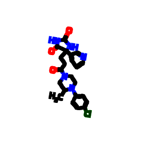 CC1CN(C(=O)CCC2(c3cccnc3)NC(=O)NC2=O)CCN1c1ccc(Cl)cc1